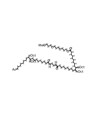 CCCCCCCCC(CCCCCCCCC(C)=O)C(CCCCCCCC)CCCCCCCCC(=O)NCCNC(=O)CCCCCCCCC(CCCCCCCC)C(CCCCCCCC)CCCCCCCCC(=O)OCCCOCCCOCCCOC